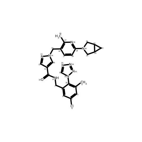 Cc1cc(Cl)cc(CNC(=O)c2cnn(Cc3ccc(N4CC5CC5C4)nc3C)c2)c1-n1cnnn1